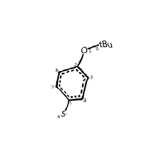 CC(C)(C)Oc1ccc([S])cc1